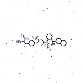 CCCC(CC1CCC(CC(C)CC(CCC)C(C)C2CCCCC2C(C(C)C)C2CCC3CCCCC3C2)CC1)NCC